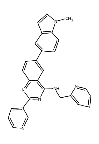 Cn1ccc2cc(-c3ccc4nc(-c5cccnc5)nc(NCc5ccccn5)c4c3)ccc21